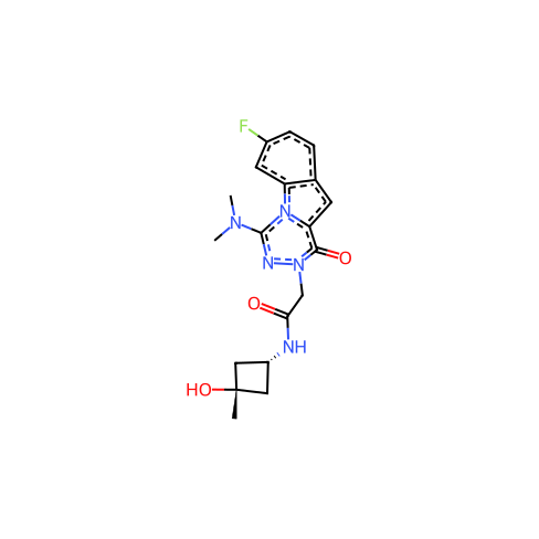 CN(C)c1nn(CC(=O)N[C@H]2C[C@@](C)(O)C2)c(=O)c2cc3ccc(F)cc3n12